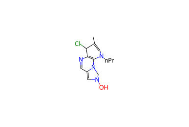 CCCN1C=C(C)C(Cl)C2=C1N1CN(O)C=C1C=N2